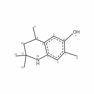 Cc1cc2c(cc1O)C(C)CC(C)(C)N2